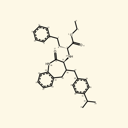 CCOC(=O)[C@@H](CCc1ccccc1)N[C@@H]1C(=O)Nc2ccccc2CC1Cc1ccc(C(C)C)cc1